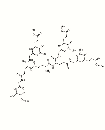 CCCC(NC(=O)CNC(=O)CCC(NC(=O)CCC(N)C(=O)NC(CCC(=O)NCC(=O)NC(CCC(=O)OC(C)(C)C)C(=O)OC(C)(C)C)C(=O)NCC(=O)NC(CCC(=O)OC(C)(C)C)C(=O)OC(C)(C)C)C(=O)NCC(=O)NC(CCC(=O)OC(C)(C)C)C(=O)OC(C)(C)C)C(=O)OC(C)(C)C